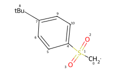 [CH2]S(=O)(=O)c1ccc(C(C)(C)C)cc1